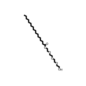 CCCCCCCCCCCCCCCCCC(=O)OCCOCCOCCOCCO